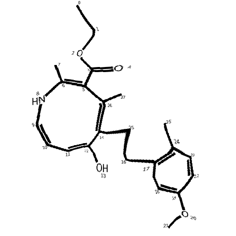 CCOC(=O)c1c(C)[nH]cccc(O)c(CCc2cc(OC)ccc2C)c1C